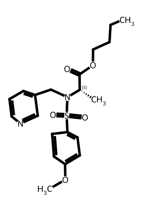 CCCCOC(=O)[C@H](C)N(Cc1cccnc1)S(=O)(=O)c1ccc(OC)cc1